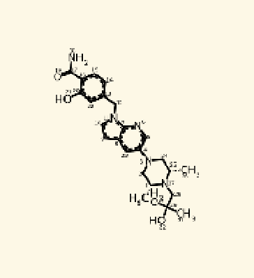 C[C@@H]1CN(c2cnc3c(ccn3Cc3ccc(C(N)=O)c(O)c3)c2)C[C@H](C)N1CC(C)(C)O